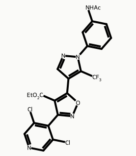 CCOC(=O)c1c(-c2c(Cl)cncc2Cl)noc1-c1cnn(-c2cccc(NC(C)=O)c2)c1C(F)(F)F